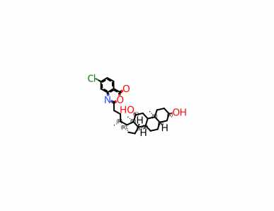 C[C@H](CCc1nc2cc(Cl)ccc2c(=O)o1)[C@H]1CC[C@H]2[C@@H]3CC[C@@H]4C[C@H](O)CC[C@]4(C)C3C[C@H](O)[C@]12C